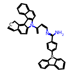 C=C(/C=C\N=C(/N)c1ccc(B2c3ccccc3-c3ccccc32)cc1)n1c2ccc3c(c2c2c4ccccc4ccc21)CCC=C3